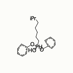 CC(C)CCCCC[PH](O)(Oc1ccccc1)Oc1ccccc1